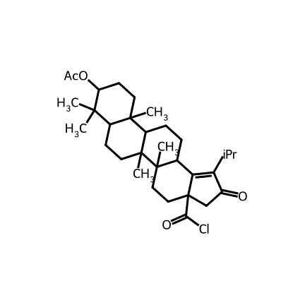 CC(=O)OC1CCC2(C)C(CCC3(C)C2CCC2C4=C(C(C)C)C(=O)CC4(C(=O)Cl)CCC23C)C1(C)C